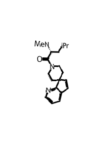 CN[C@H](CC(C)C)C(=O)N1CCC2(C=Cc3cccnc32)CC1